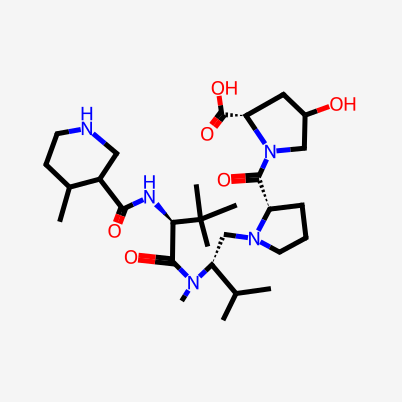 CC1CCNCC1C(=O)N[C@H](C(=O)N(C)[C@H](CN1CCC[C@H]1C(=O)N1CC(O)C[C@H]1C(=O)O)C(C)C)C(C)(C)C